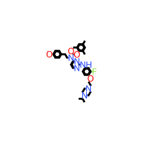 COc1ccc(CCN(C(=O)Oc2c(C)cc(C)cc2C)c2ccnc(Nc3ccc(OCCN4CCN(C(C)C)CC4)c(F)c3)n2)cc1